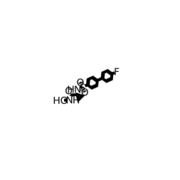 O=C(NO)C1(NS(=O)(=O)c2ccc(-c3ccc(F)cc3)cc2)CC1